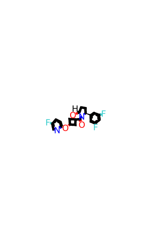 O=C1N2[C@@H](CC[C@H]2c2cc(F)cc(F)c2)OC12CC(Oc1ccc(F)cn1)C2